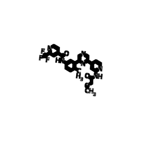 COCC(=O)Nc1cc(-c2cncc(-c3cc(NC(=O)c4ccnc(C(F)(F)F)c4)ccc3C)n2)ccn1